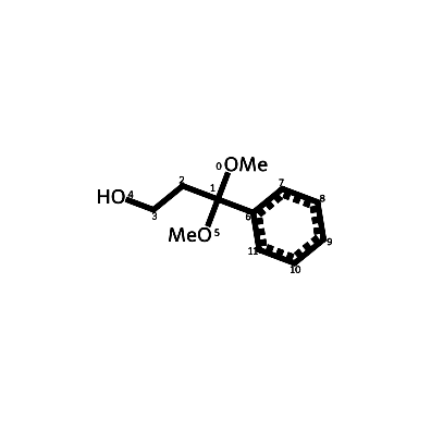 COC(CCO)(OC)c1ccccc1